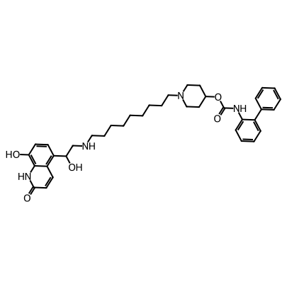 O=C(Nc1ccccc1-c1ccccc1)OC1CCN(CCCCCCCCCNCC(O)c2ccc(O)c3[nH]c(=O)ccc23)CC1